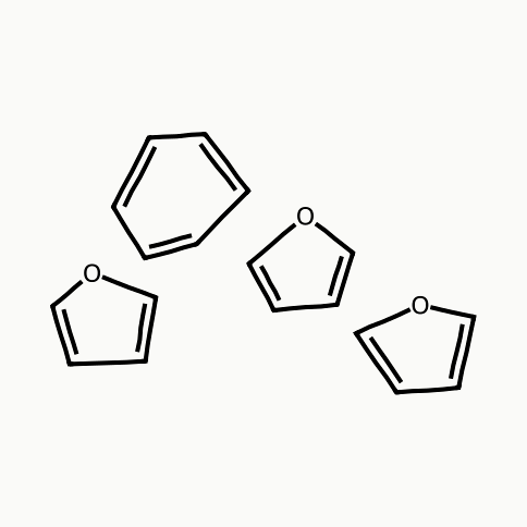 c1ccccc1.c1ccoc1.c1ccoc1.c1ccoc1